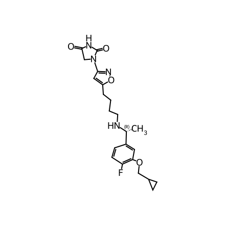 C[C@@H](NCCCCc1cc(N2CC(=O)NC2=O)no1)c1ccc(F)c(OCC2CC2)c1